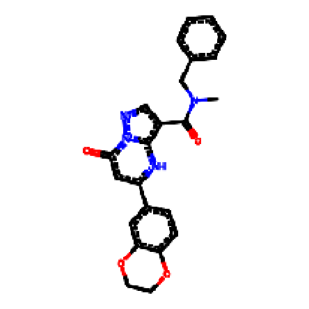 CN(Cc1ccccc1)C(=O)c1cnn2c(=O)cc(-c3ccc4c(c3)OCCO4)[nH]c12